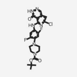 CC(C)(C)OC(=O)N1CCN(c2cc(F)c(Nc3nc(Cl)cc4cn[nH]c(=O)c34)cc2F)CC1